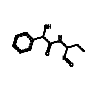 CCC(N=O)NC(=O)C(O)c1ccccc1